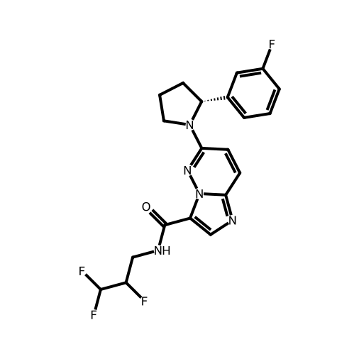 O=C(NCC(F)C(F)F)c1cnc2ccc(N3CCC[C@@H]3c3cccc(F)c3)nn12